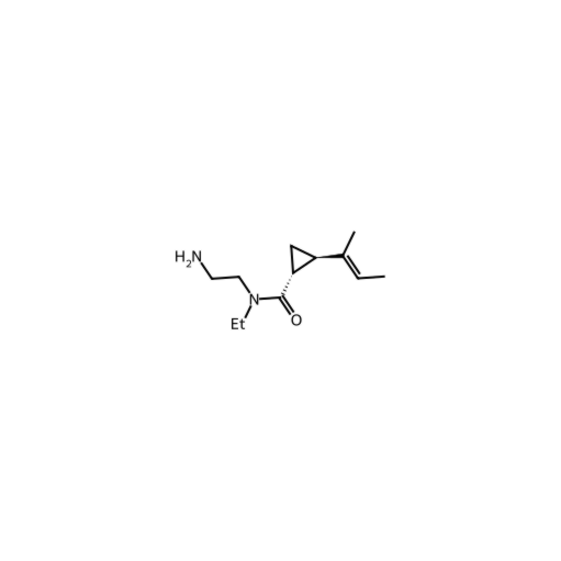 C/C=C(\C)[C@@H]1C[C@H]1C(=O)N(CC)CCN